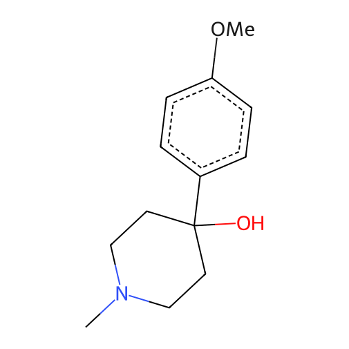 COc1ccc(C2(O)CCN(C)CC2)cc1